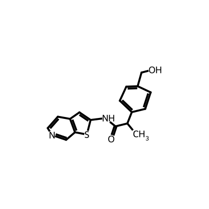 CC(C(=O)Nc1cc2ccncc2s1)c1ccc(CO)cc1